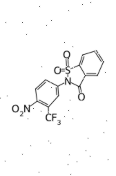 O=C1c2ccccc2S(=O)(=O)N1c1ccc([N+](=O)[O-])c(C(F)(F)F)c1